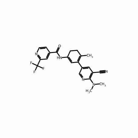 CC1=C(c2cnc(N(C)C)c(C#N)c2)C=C(NC(=O)c2ccnc(C(F)(F)F)c2)CC1